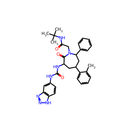 Cc1ccccc1C1CC(NC(=O)Nc2ccc3[nH]nnc3c2)C(=O)N(CC(=O)NC(C)(C)C)C(c2ccccc2)C1